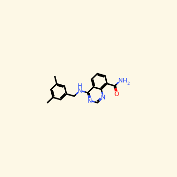 Cc1cc(C)cc(CNc2ncnc3c(C(N)=O)cccc23)c1